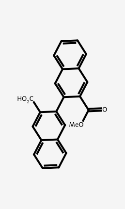 COC(=O)c1cc2ccccc2cc1-c1cc2ccccc2cc1C(=O)O